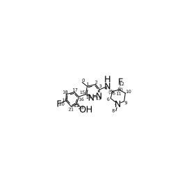 Cc1cc(N[C@H]2CN(C)CC[C@H]2F)nnc1-c1ccc(F)cc1O